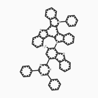 FC(F)(F)c1cc(-c2nc(-c3ccccc3)nc(-c3ccccc3)n2)c2c(oc3ccccc32)c1-n1c2ccccc2c2c3c(c4ccccc4n3-c3ccccc3)c3sc4ccccc4c3c21